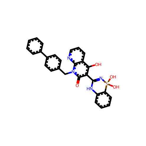 O=c1c(C2=NS(O)(O)c3ccccc3N2)c(O)c2cccnc2n1Cc1ccc(-c2ccccc2)cc1